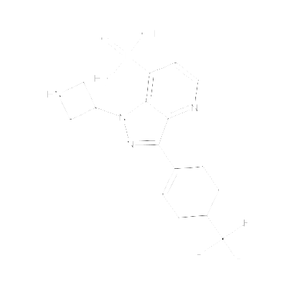 CP(C)(=O)c1ccnc2c(C3=CCC(C(F)(F)F)CC3)nn(C3CNC3)c12